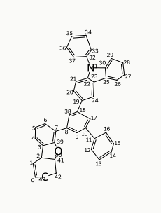 C1=CC2c3cccc(-c4cc(-c5ccccc5)cc(-c5ccc6c(c5)c5ccccc5n6-c5ccccc5)c4)c3OC2CC1